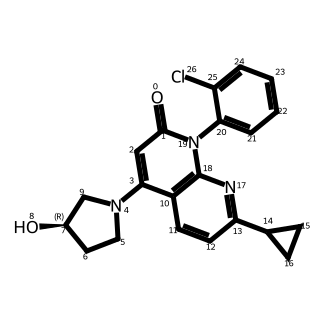 O=c1cc(N2CC[C@@H](O)C2)c2ccc(C3CC3)nc2n1-c1ccccc1Cl